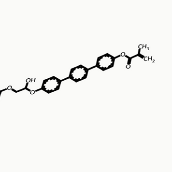 C=C(C)C(=O)Oc1ccc(-c2ccc(-c3ccc(OC(O)COC(=O)CC)cc3)cc2)cc1